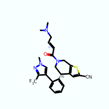 CN(C)C/C=C/C(=O)N1Cc2sc(C#N)cc2[C@H](c2ccccc2-c2cn(C)nc2C(F)(F)F)C1